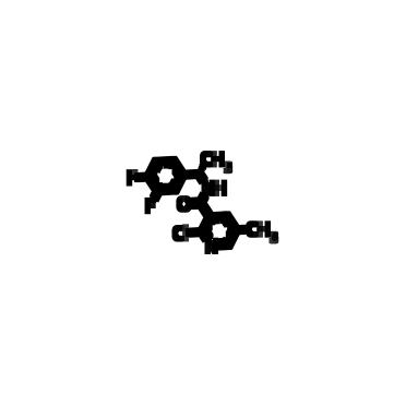 Cc1cnc(Cl)c(C(=O)N[C@@H](C)c2ccc(F)c(F)c2)c1